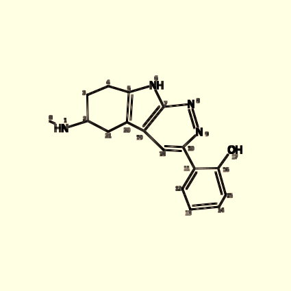 CNC1CCc2[nH]c3nnc(-c4ccccc4O)cc3c2C1